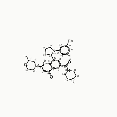 CC1CN(c2cc(=O)c3cc(C(=O)N4CCOCC4)cc(C4CCCN4c4cccc(F)c4)c3o2)CCO1